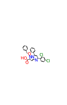 O=C(O)c1cc2nc(-c3ccc(Cl)cc3Cl)cc(-c3ccccc3OCc3ccccc3)n2n1